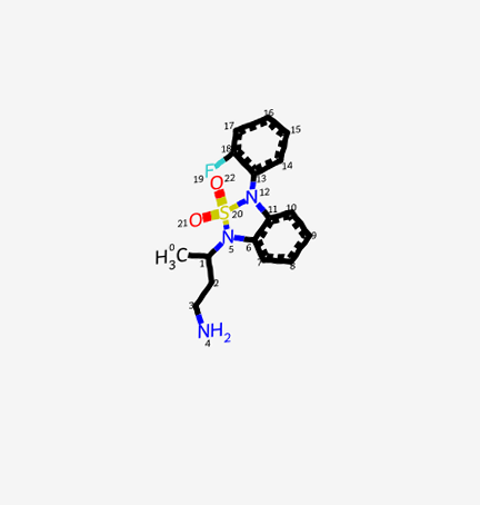 CC(CCN)N1c2ccccc2N(c2ccccc2F)S1(=O)=O